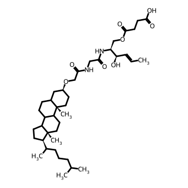 C/C=C/[C@@H](O)[C@H](COC(=O)CCC(=O)O)NC(=O)CNC(=O)CO[C@H]1CC[C@@]2(C)C(CCC3C2CC[C@@]2(C)C3CC[C@@H]2C(C)CCCC(C)C)C1